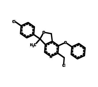 CC1(c2ccc(Cl)cc2)OCc2c1cnc(CCl)c2Oc1ccccc1